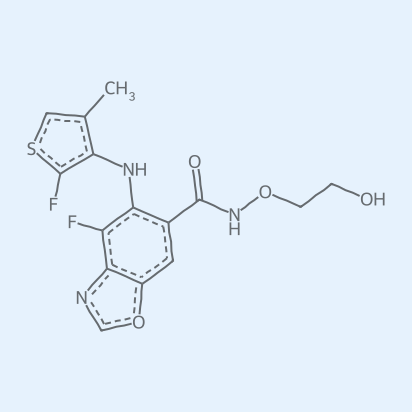 Cc1csc(F)c1Nc1c(C(=O)NOCCO)cc2ocnc2c1F